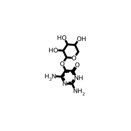 Nc1nc(N)c(OC2OCC(O)C(O)C2O)c(=O)[nH]1